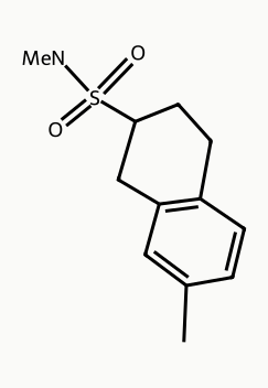 CNS(=O)(=O)C1CCc2ccc(C)cc2C1